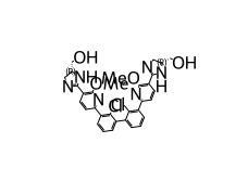 COc1nc(-c2cccc(-c3cccc(-c4ccc(C5=NC[C@H](CO)N5)c(OC)n4)c3Cl)c2Cl)ccc1C1=NC[C@H](CO)N1